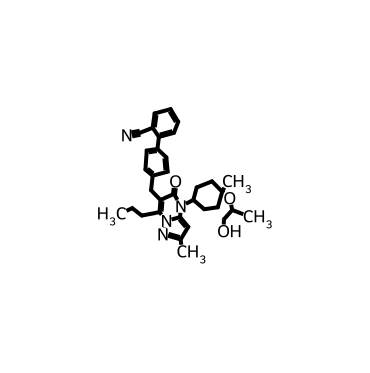 CCCc1c(Cc2ccc(-c3ccccc3C#N)cc2)c(=O)n(C2CCC(C)(OC(C)CO)CC2)c2cc(C)nn12